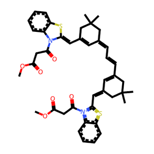 COC(=O)CC(=O)N1/C(=C/C2=CC(=CC=CC3=C/C(=C/c4sc5ccccc5[n+]4C(=O)CC(=O)OC)CC(C)(C)C3)CC(C)(C)C2)Sc2ccccc21